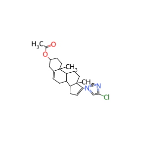 CC(=O)OC1CCC2(C)C(=CCC3C2CCC2(C)C(n4cnc(Cl)c4)=CCC32)C1